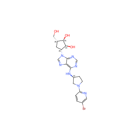 OC[C@H]1C[C@@H](n2cnc3c(N[C@H]4CCN(c5ccc(Br)cn5)C4)ncnc32)[C@H](O)[C@@H]1O